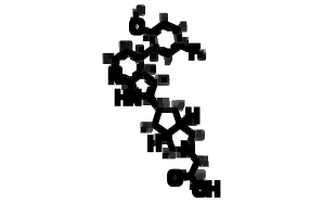 COc1ccc(F)cc1-c1ccnc2[nH]c([C@H]3C[C@@H]4CN(CC(=O)O)C[C@@H]4C3)cc12